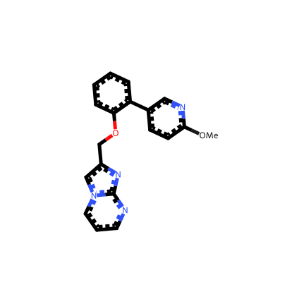 COc1ccc(-c2ccccc2OCc2cn3cccnc3n2)cn1